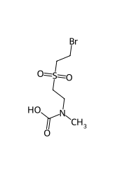 CN(CCS(=O)(=O)CCBr)C(=O)O